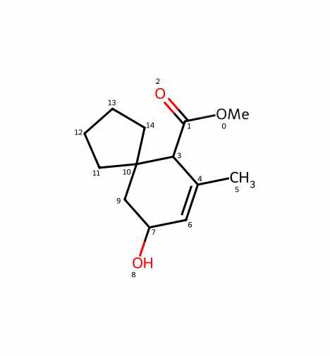 COC(=O)C1C(C)=CC(O)CC12CCCC2